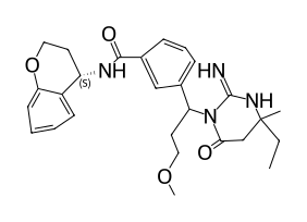 CCC1(C)CC(=O)N(C(CCOC)c2cccc(C(=O)N[C@H]3CCOc4ccccc43)c2)C(=N)N1